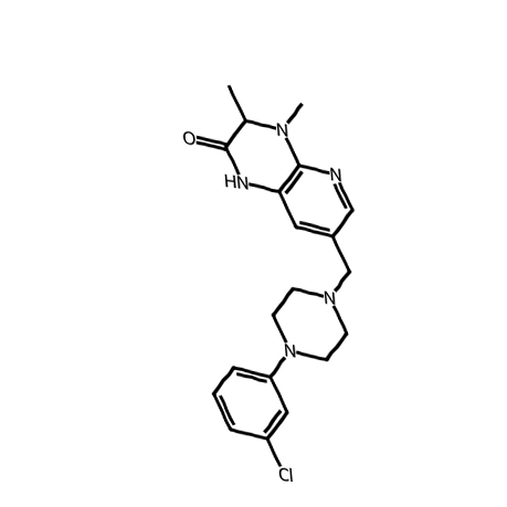 CC1C(=O)Nc2cc(CN3CCN(c4cccc(Cl)c4)CC3)cnc2N1C